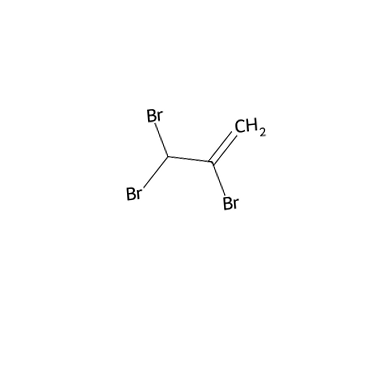 C=C(Br)C(Br)Br